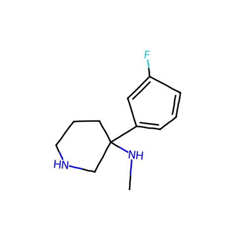 CNC1(c2cccc(F)c2)CCCNC1